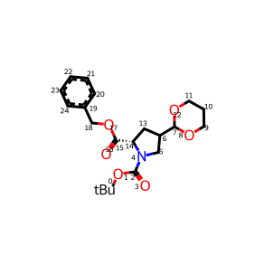 CC(C)(C)OC(=O)N1CC(C2OCCCO2)C[C@H]1C(=O)OCc1ccccc1